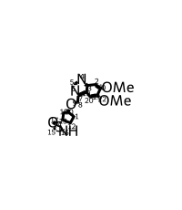 COc1cc2ncnc(COC3CCC(S(C)(=N)=O)C3)c2cc1OC